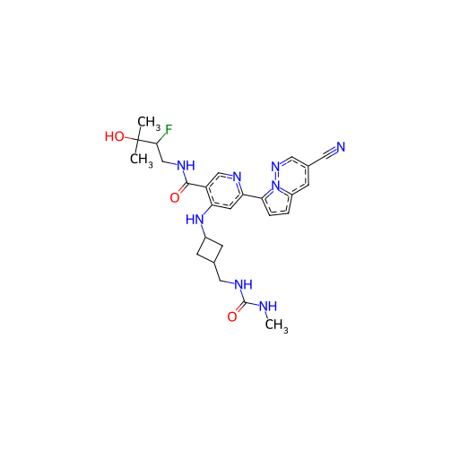 CNC(=O)NCC1CC(Nc2cc(-c3ccc4cc(C#N)cnn34)ncc2C(=O)NCC(F)C(C)(C)O)C1